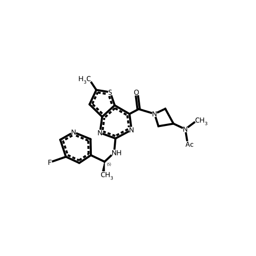 CC(=O)N(C)C1CN(C(=O)c2nc(N[C@@H](C)c3cncc(F)c3)nc3cc(C)sc23)C1